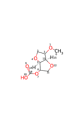 COC1CO[C@@H]2C(OC(=O)O)CO[C@H]12